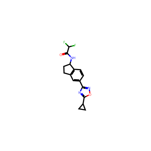 O=C(NC1CCc2cc(-c3noc(C4CC4)n3)ccc21)C(F)F